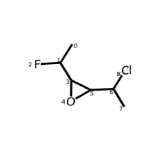 CC(F)C1OC1C(C)Cl